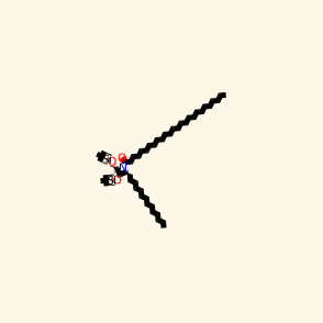 CCCCCCCCCCCCCCCCCCCCCCCCCC(=O)N1[C@@H](CCCCCCCCCCCCCC)[C@@H](O[Si](C)(C)C(C)(C)C)[C@@H]1CO[Si](C)(C)C(C)(C)C